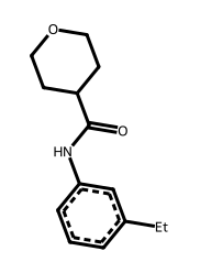 CCc1cccc(NC(=O)C2CCOCC2)c1